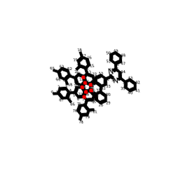 Cc1ccc(-c2ccc3c(c2)c2cc(-c4ccc(C)cc4C)ccc2n3-c2ccccc2-c2cc(-c3nc(-c4ccccc4)cc(-c4ccccc4)n3)ccc2-n2c3ccc(-c4ccc(C)cc4C)cc3c3cc(-c4ccc(C)cc4C)ccc32)c(C)c1